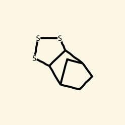 C1CC2CC1C1SSSC21